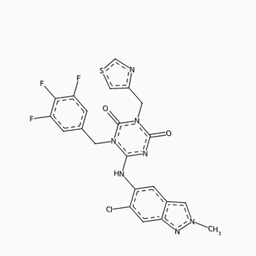 Cn1cc2cc(Nc3nc(=O)n(Cc4cscn4)c(=O)n3Cc3cc(F)c(F)c(F)c3)c(Cl)cc2n1